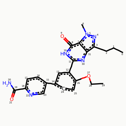 CCCc1nn(C)c2c(=O)[nH]c(-c3cc(-c4ccc(C(N)=O)nc4)ccc3OCC)nc12